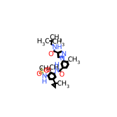 COc1c(NC(=O)c2ccc(C)c(-n3cc(C(=O)NCC(C)(C)C)cn3)c2)cc(C2(C)CC2)cc1NS(C)(=O)=O